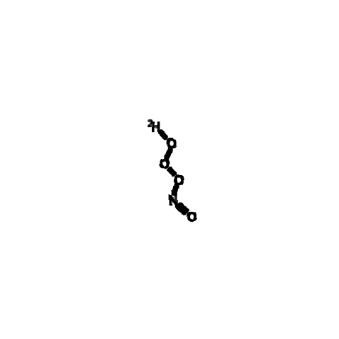 [2H]OOON=O